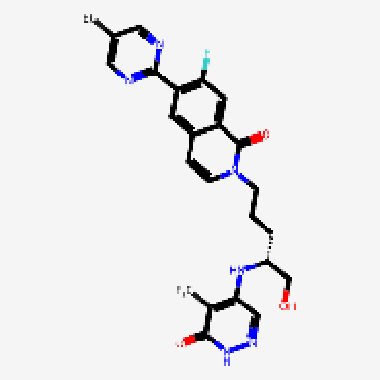 CCc1cnc(-c2cc3ccn(CCC[C@H](CO)Nc4cn[nH]c(=O)c4C(F)(F)F)c(=O)c3cc2F)nc1